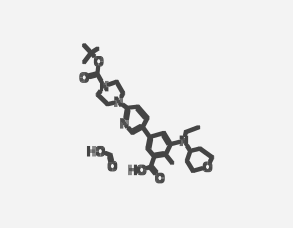 CCN(c1cc(-c2ccc(N3CCN(C(=O)OC(C)(C)C)CC3)nc2)cc(C(=O)O)c1C)C1CCOCC1.O=CO